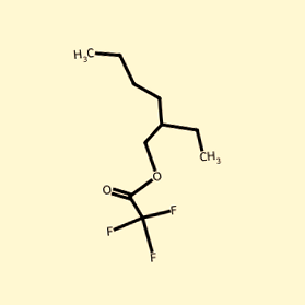 CCCCC(CC)COC(=O)C(F)(F)F